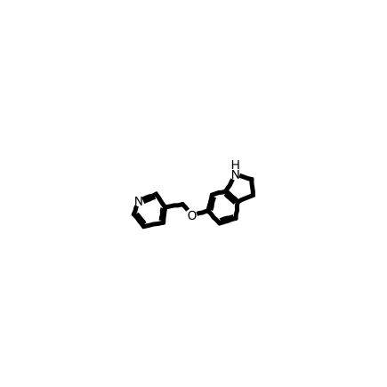 c1cncc(COc2ccc3c(c2)NCC3)c1